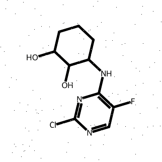 OC1CCCC(Nc2nc(Cl)ncc2F)C1O